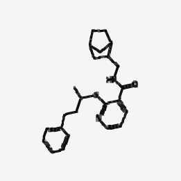 CC(CCc1ccccc1)Sc1ncccc1C(=O)NCC1CC2CCC1C2